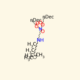 CCCCCCCCCCCCCC(=O)OCCN(CCOC(=O)CCCCCCCCCCCCC)C(=O)CCCCCNC/C=C(C)/C=C/C=C(C)/C=C/C1=C(C)CCCC1(C)C